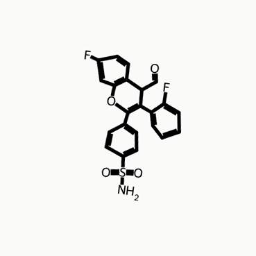 NS(=O)(=O)c1ccc(C2=C(c3ccccc3F)C(C=O)c3ccc(F)cc3O2)cc1